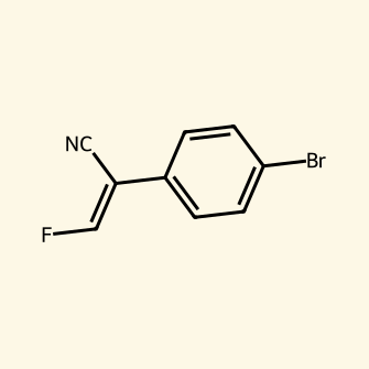 N#C/C(=C\F)c1ccc(Br)cc1